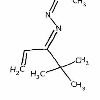 C=C/C(=N\N=C/C)C(C)(C)C